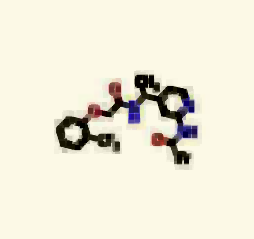 CC(C)C(=O)Nc1cc(C(C)NC(=O)COc2ccccc2C(F)(F)F)ccn1